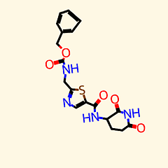 O=C1CCC(NC(=O)c2cnc(CNC(=O)OCc3ccccc3)s2)C(=O)N1